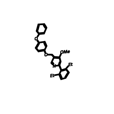 CCc1cccc(CC)c1-c1cc(OC)c(COc2ccc(Oc3ccccc3)cc2)cn1